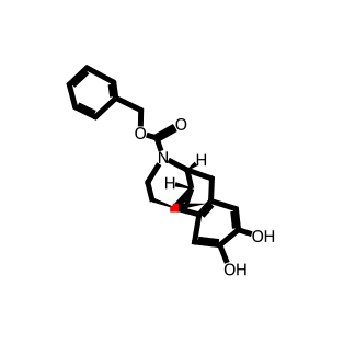 O=C(OCc1ccccc1)N1CC[C@]23CCCC[C@H]2[C@H]1Cc1cc(O)c(O)cc13